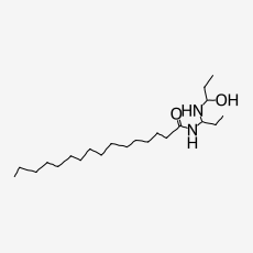 CCCCCCCCCCCCCCCC(=O)NC(CC)NC(O)CC